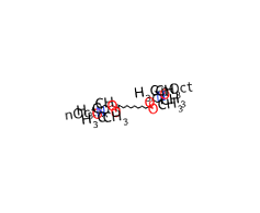 CCCCCCCCON1C(C)(C)CC(OC(=O)CCCCCCCCC(=O)OC2CC(C)(C)N(OCCCCCCCC)C(C)(C)C2)CC1(C)C